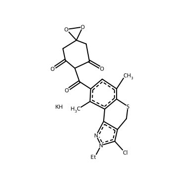 CCn1nc2c(c1Cl)CSc1c(C)cc(C(=O)C3C(=O)CC4(CC3=O)OO4)c(C)c1-2.[KH]